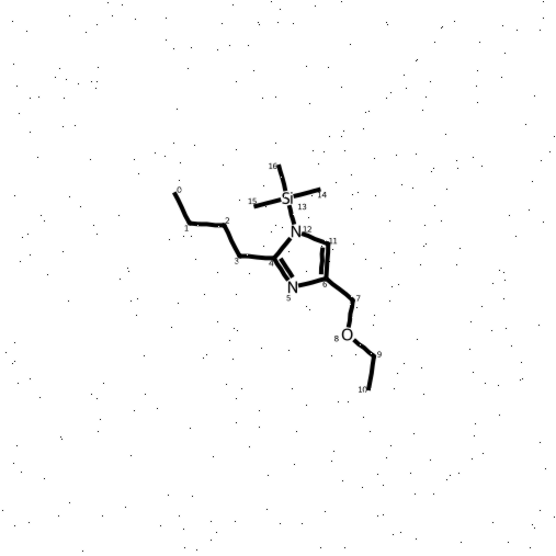 CCCCc1nc(COCC)cn1[Si](C)(C)C